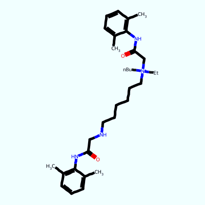 CCCC[N+](CC)(CCCCCCNCC(=O)Nc1c(C)cccc1C)CC(=O)Nc1c(C)cccc1C